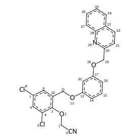 N#CCOc1c(Cl)cc(Cl)cc1COc1cccc(OCc2ccc3ccccc3n2)c1